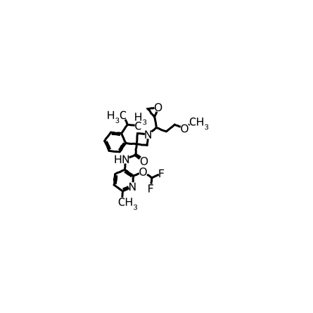 COCCC(C1CO1)N1CC(C(=O)Nc2ccc(C)nc2OC(F)F)(c2ccccc2C(C)C)C1